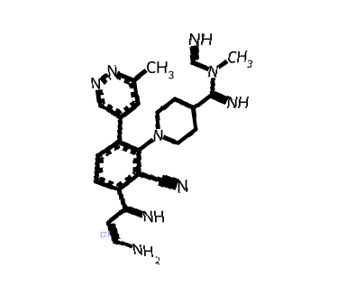 Cc1cc(-c2ccc(C(=N)/C=C\N)c(C#N)c2N2CCC(C(=N)N(C)C=N)CC2)cnn1